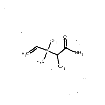 C=C[Si](C)(C)C(C)C(N)=O